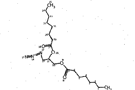 CCCCCCCC(=O)OCC(CN=[N+]=[N-])OC(=O)CCCCCCC